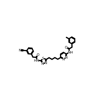 Cc1cccc(CC(=O)Nc2ccc(CCCCc3nnc(NC(=O)Cc4cccc(C#N)c4)s3)nn2)c1